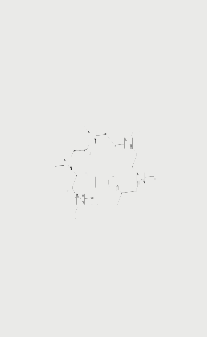 CC(O)CN(C)CCN(C)CCN(C)CCN(C)CCN(C)C